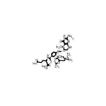 CC(=O)OC(C[N+](C)(C)C)C(C)=O.CN1c2c(nc(N)[nH]c2=O)NC[C@@H]1CNc1ccc(C(=O)NC(CCC(=O)O)C(=O)O)cc1